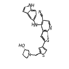 N#Cc1cnc2sc(-c3csc(CN4CC[C@H](O)C4)c3)cc2c1Nc1ccc2[nH]ccc2c1